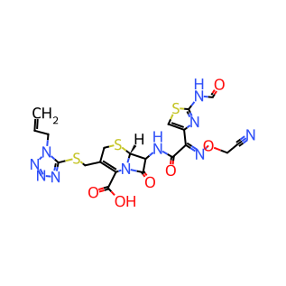 C=CCn1nnnc1SCC1=C(C(=O)O)N2C(=O)C(NC(=O)/C(=N/OCC#N)c3csc(NC=O)n3)[C@H]2SC1